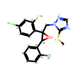 CSc1ncnn1CC1(c2ccc(F)cc2F)OC1c1ccccc1Cl